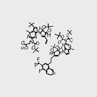 C=CC1=C[C@@H](n2cc(C(C)(C)C)c3c(C)nc(N(C(=O)O)C(=O)OC(C)(C)C)nc32)[C@@H]2OC(C)(C)O[C@H]12.Cc1nc(N(C(=O)OC(C)(C)C)C(=O)OC(C)(C)C)nc2c1ccn2[C@@H]1C=C(CCc2cc(C(F)F)c(F)c3ccncc23)[C@H]2OC(C)(C)O[C@H]21